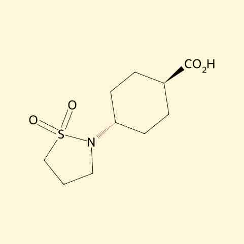 O=C(O)[C@H]1CC[C@H](N2CCCS2(=O)=O)CC1